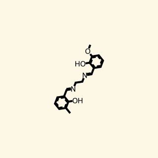 COc1cccc(/C=N/CC/N=C/c2cccc(C)c2O)c1O